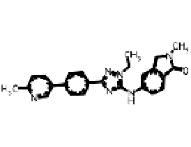 CCn1nc(-c2ccc(-c3ccc(C)nc3)cc2)nc1Nc1ccc2c(c1)CN(C)C2=O